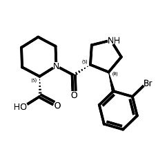 O=C(O)[C@@H]1CCCCN1C(=O)[C@@H]1CNC[C@H]1c1ccccc1Br